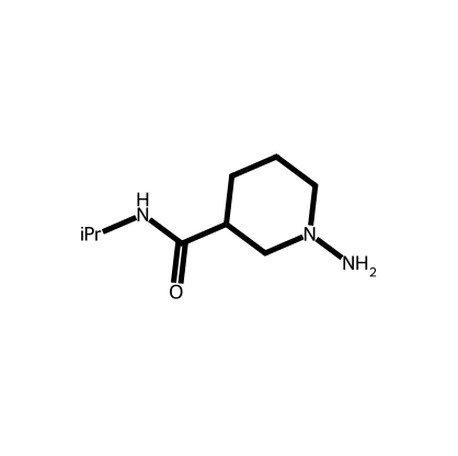 CC(C)NC(=O)C1CCCN(N)C1